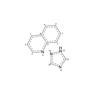 c1ccc2ncccc2c1.c1nc[nH]n1